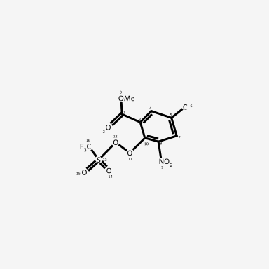 COC(=O)c1cc(Cl)cc([N+](=O)[O-])c1OOS(=O)(=O)C(F)(F)F